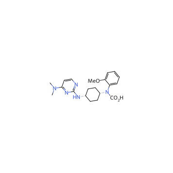 COc1ccccc1N(C(=O)O)[C@H]1CC[C@@H](Nc2nccc(N(C)C)n2)CC1